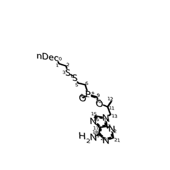 CCCCCCCCCCCCSSCC/[P+]([O-])=C/OC(C)Cn1cnc2c(N)ncnc21